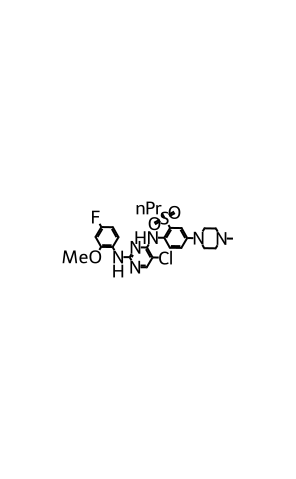 CCCS(=O)(=O)c1cc(N2CCN(C)CC2)ccc1Nc1nc(Nc2ccc(F)cc2OC)ncc1Cl